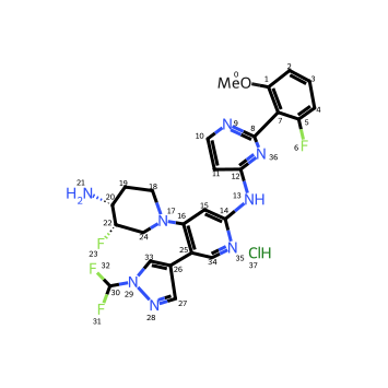 COc1cccc(F)c1-c1nccc(Nc2cc(N3CC[C@@H](N)[C@@H](F)C3)c(-c3cnn(C(F)F)c3)cn2)n1.Cl